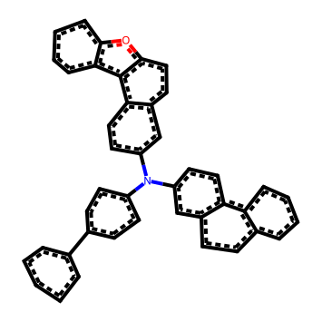 c1ccc(-c2ccc(N(c3ccc4c(ccc5ccccc54)c3)c3ccc4c(ccc5oc6ccccc6c54)c3)cc2)cc1